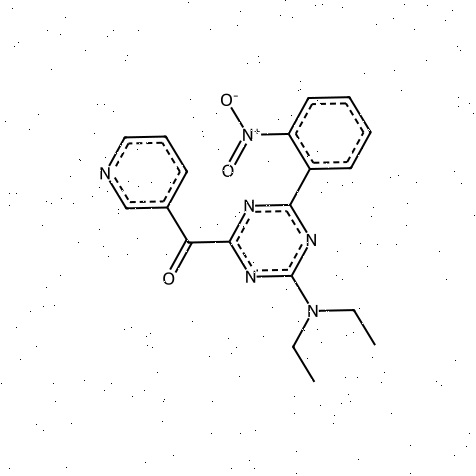 CCN(CC)c1nc(C(=O)c2cccnc2)nc(-c2ccccc2[N+](=O)[O-])n1